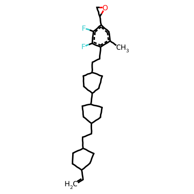 C=CC1CCC(CCC2CCC(C3CCC(CCc4c(C)cc(C5CO5)c(F)c4F)CC3)CC2)CC1